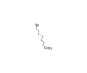 O=CCCCCCCCBr